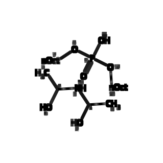 CC(O)NC(C)O.CCCCCCCCOP(=O)(O)OCCCCCCCC